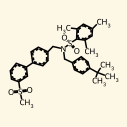 Cc1cc(C)c(S(=O)(=O)N(Cc2ccc(-c3cccc(S(C)(=O)=O)c3)cc2)Cc2ccc(C(C)(C)C)cc2)c(C)c1